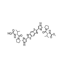 COC(=O)N[C@@H](C(=O)N1CCC[C@H]1c1nc(-c2nc3cc4sc(-c5c[nH]c([C@@H]6CCCN6C(=O)[C@H](NC(=O)O)C(C)C)n5)nc4cc3s2)c[nH]1)C(C)C